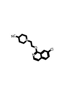 N#CC1CCN(CCOc2nccc3ccc(Cl)cc23)CC1